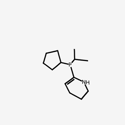 CC(C)P(C1=CCCCN1)C1CCCC1